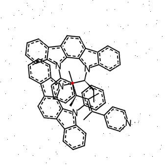 CC[C@H](n1c2ccccc2c2ccc3c4ccccc4n(-c4ccccc4)c3c21)C(C)([C@H](C)/C(C)=C(\C)c1ccncc1)n1c2ccccc2c2ccc3c4ccccc4n(-c4ccccc4)c3c21